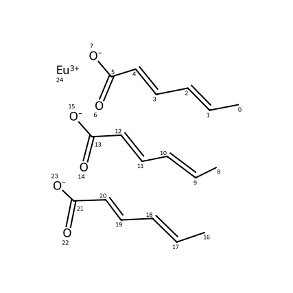 C/C=C/C=C/C(=O)[O-].C/C=C/C=C/C(=O)[O-].C/C=C/C=C/C(=O)[O-].[Eu+3]